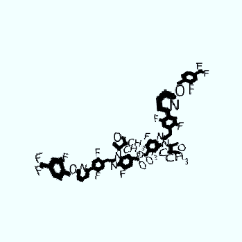 CC1(C)COCC1n1c(Cc2cc(F)c(-c3cccc(OCc4ccc(C(F)F)cc4F)n3)cc2F)nc2c(F)cc(C(=O)OC(=O)c3cc(F)c4nc(Cc5cc(F)c(-c6cccc(OCc7ccc(C(F)F)cc7F)n6)cc5F)n(C5COCC5(C)C)c4c3)cc21